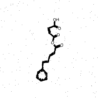 O=C(O)/C=C\C(=O)OC(=O)C=CC=Cc1ccccc1